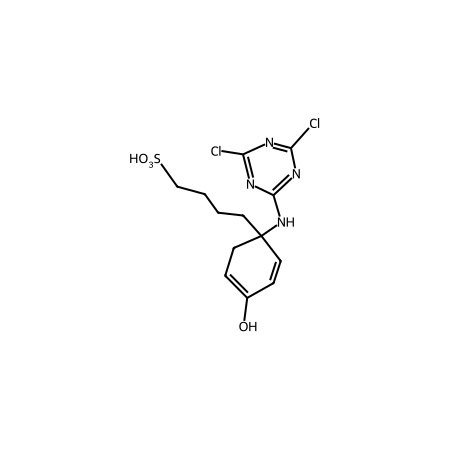 O=S(=O)(O)CCCCC1(Nc2nc(Cl)nc(Cl)n2)C=CC(O)=CC1